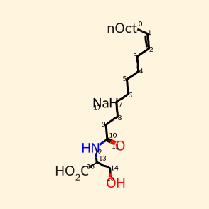 CCCCCCCC/C=C\CCCCCCCC(=O)N[C@@H](CO)C(=O)O.[NaH]